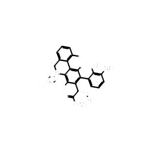 COC(=O)[C@@H](OC(C)(C)C)c1c(C)c2c(c(C)c1-c1cccc(N)c1C)-c1c(F)cccc1CN2S(C)(=O)=O